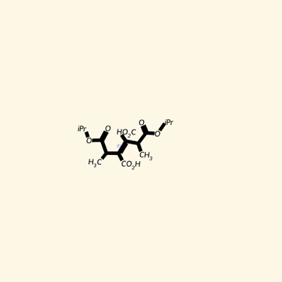 CC(C)OC(=O)C(C)/C(C(=O)O)=C(\C(=O)O)C(C)C(=O)OC(C)C